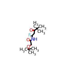 CC(C)(C)OCC(=O)N[C@H](F)CC(=O)C(C)(C)C